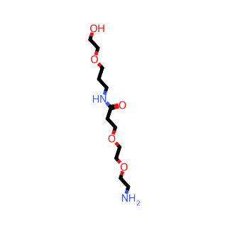 NCCOCCOCCC(=O)NCCCOCCO